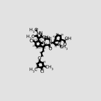 Cc1cc(OCCCc2c3n(c4c(-c5c(C)nn(C)c5C)c(Cl)ccc24)[C@H](C)CN(c2cn(C)c4c(C(=O)O)cccc24)C3=O)cc(C)c1Cl